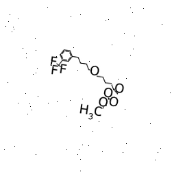 CCOC(=O)OC1(CCCCOCCCCc2cccc(C(F)(F)F)c2)CO1